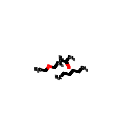 CC(C)=O.CCCCCC.CCOCC